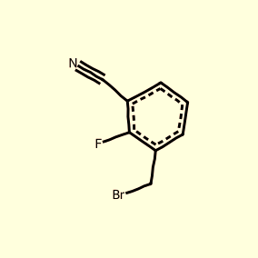 N#Cc1cccc(CBr)c1F